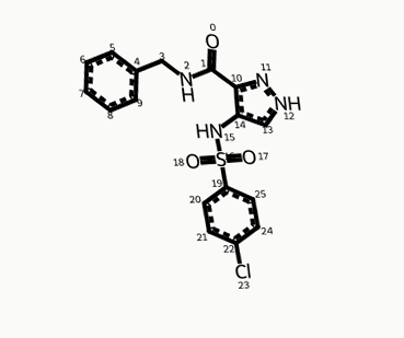 O=C(NCc1ccccc1)c1n[nH]cc1NS(=O)(=O)c1ccc(Cl)cc1